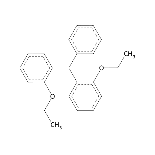 CCOc1ccccc1C(c1ccccc1)c1ccccc1OCC